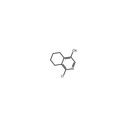 N#Cc1cnc(Cl)c2c1CCCC2